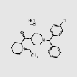 CCN1CCCC[C@H]1C(=O)N1CCN(C(c2ccccc2)c2ccc(Cl)cc2)CC1.Cl.Cl